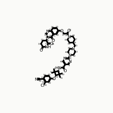 CC1(C)[C@H](NC(=O)c2cnc(N3CCN(CC4CCN(C(=O)COc5ccc6nnn(C7CCC(=O)NC7=O)c(=O)c6c5)CC4)CC3)nc2)C(C)(C)[C@H]1Oc1ccc(C#N)c(Cl)c1